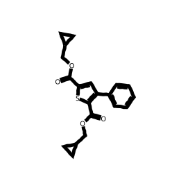 O=C(OCC1CC1)c1cc(-c2ccccc2)c(C(=O)OCC2CC2)s1